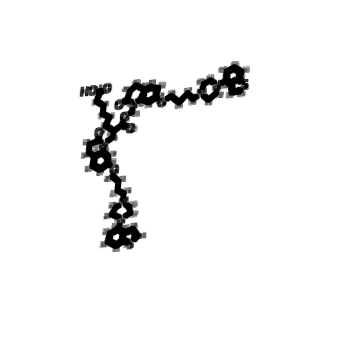 O=C(O)CCCCCC(CN1C(=O)CCc2ccc(OCCCCN3CCN(c4cccc5sccc45)CC3)cc21)C(=O)OCN1C(=O)CCc2ccc(OCCCCN3CCN(c4cccc5sccc45)CC3)cc21